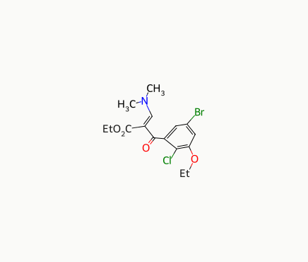 CCOC(=O)C(=CN(C)C)C(=O)c1cc(Br)cc(OCC)c1Cl